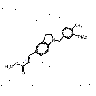 COc1cc(CN2CCc3cc(/C=C/C(=O)ON)ccc32)ccc1C